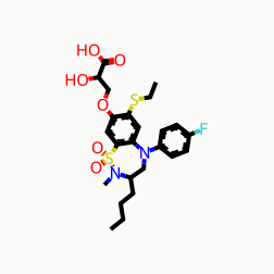 CCCCC1CN(c2ccc(F)cc2)c2cc(SCC)c(OCC(O)C(=O)O)cc2S(=O)(=O)N1C